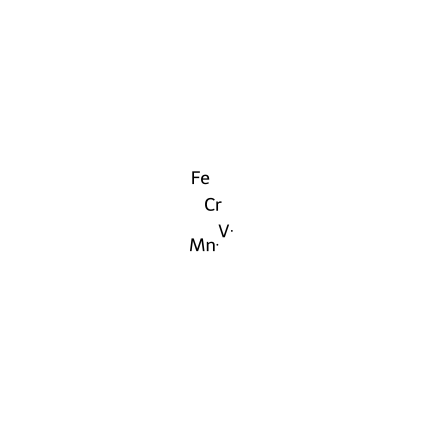 [Cr].[Fe].[Mn].[V]